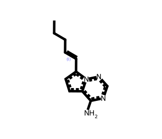 CCC/C=C/c1ccc2c(N)ncnn12